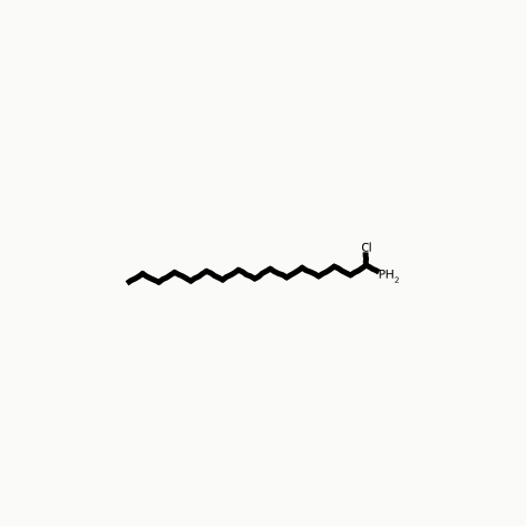 CCCCCCCCCCCCCCCC(P)Cl